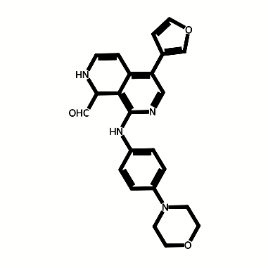 O=CC1NC=Cc2c(-c3ccoc3)cnc(Nc3ccc(N4CCOCC4)cc3)c21